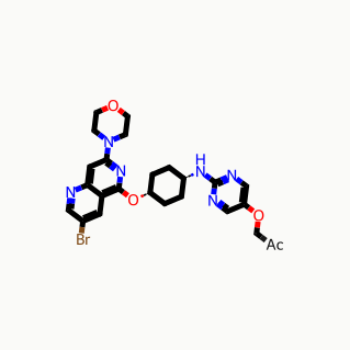 CC(=O)COc1cnc(N[C@H]2CC[C@@H](Oc3nc(N4CCOCC4)cc4ncc(Br)cc34)CC2)nc1